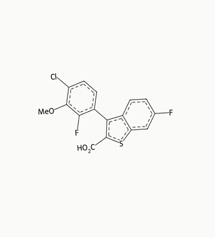 COc1c(Cl)ccc(-c2c(C(=O)O)sc3cc(F)ccc23)c1F